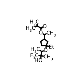 C=C(C)C(=O)OC(C)C1CCC(CC)(OC(C)C(C)(O)C(F)(F)F)C1